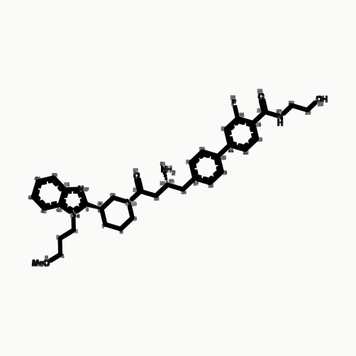 COCCCn1c([C@@H]2CCCN(C(=O)C[C@H](N)Cc3ccc(-c4ccc(C(=O)NCCO)c(F)c4)cc3)C2)nc2ccccc21